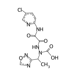 CC(c1ncon1)N(NC(=O)C(=O)Nc1ccc(Cl)cn1)C(=O)O